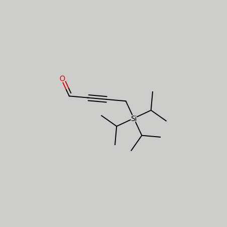 CC(C)[Si](CC#CC=O)(C(C)C)C(C)C